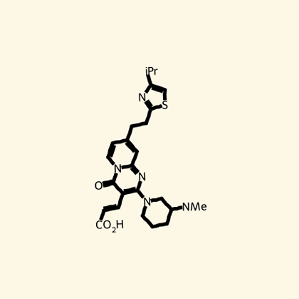 CNC1CCCN(c2nc3cc(CCc4nc(C(C)C)cs4)ccn3c(=O)c2C=CC(=O)O)C1